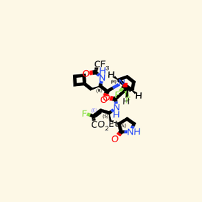 CCOC(=O)/C(F)=C\[C@H](C[C@@H]1CCNC1=O)NC(=O)[C@H]1[C@H]2CC[C@H](CC2(F)F)N1C(=O)[C@@H](CC1CCC1)NC(=O)C(F)(F)F